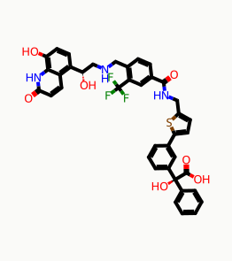 O=C(NCc1ccc(-c2cccc([C@](O)(C(=O)O)c3ccccc3)c2)s1)c1ccc(CNC[C@H](O)c2ccc(O)c3[nH]c(=O)ccc23)c(C(F)(F)F)c1